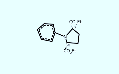 CCOC(=O)[C@H]1CC[C@@H](C(=O)OCC)N1c1ccccc1